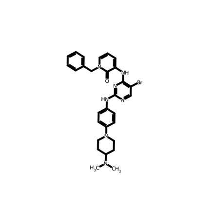 CN(C)C1CCN(c2ccc(Nc3ncc(Br)c(Nc4cccn(Cc5ccccc5)c4=O)n3)cc2)CC1